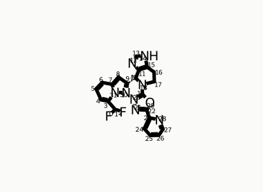 FC(F)c1cccc2cc([C@@H]3c4nc[nH]c4CCN3c3nnc(-c4ccccn4)o3)nn12